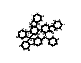 c1ccc(N(c2ccc3c(c2)C2(c4ccccc4-3)c3ccccc3-c3c2ccc2c3oc3ccccc32)c2cccc3c2sc2ccccc23)cc1